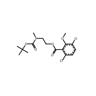 COc1c(Cl)ccc(Cl)c1C(=O)OCCN(C)C(=O)OC(C)(C)C